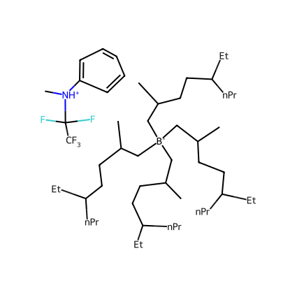 CCCC(CC)CCC(C)C[B-](CC(C)CCC(CC)CCC)(CC(C)CCC(CC)CCC)CC(C)CCC(CC)CCC.C[NH+](c1ccccc1)C(F)(F)C(F)(F)F